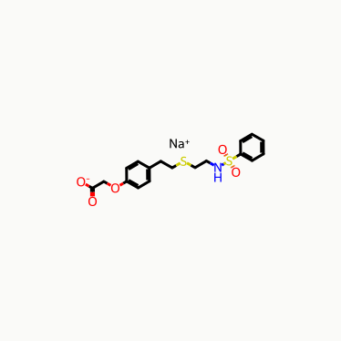 O=C([O-])COc1ccc(CCSCCNS(=O)(=O)c2ccccc2)cc1.[Na+]